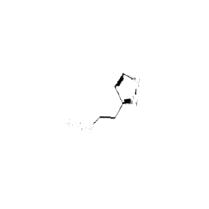 CC(=O)NCCC1=N[N]C=C1